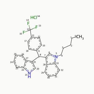 CCCCCn1cc([C](c2ccc(C(F)(F)F)cc2)c2c[nH]c3ccccc23)c2ccccc21.Cl